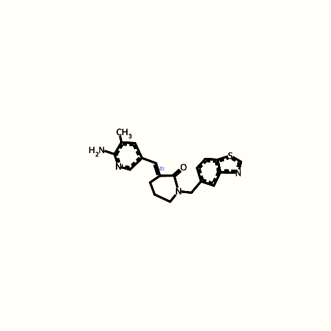 Cc1cc(/C=C2\CCCN(Cc3ccc4scnc4c3)C2=O)cnc1N